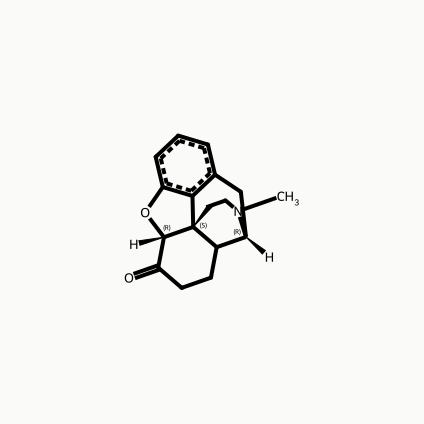 CN1CC[C@]23c4c5cccc4O[C@H]2C(=O)CCC3[C@H]1C5